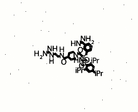 CC(C)C1=CC(C(C)C)CC(C(C)C)=C1S(=O)(=O)N[C@@H](Cc1cccc(C(=N)N)c1)C(=O)N1CCC(C(=O)NCCNC(=N)N)CC1